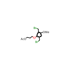 COc1cc(CBr)c(OCCCOC(C)=O)cc1CBr